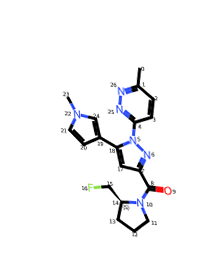 Cc1ccc(-n2nc(C(=O)N3CCC[C@H]3CF)cc2-c2ccn(C)c2)nn1